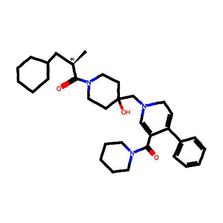 C[C@H](CC1CCCCC1)C(=O)N1CCC(O)(CN2C=C(C(=O)N3CCCCC3)C(c3ccccc3)=CC2)CC1